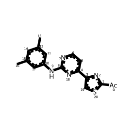 CC(=O)c1nc(-c2ccnc(Nc3cc(C)cc(C)c3)n2)cs1